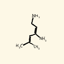 CC(C)=C/C(N)=C\CN